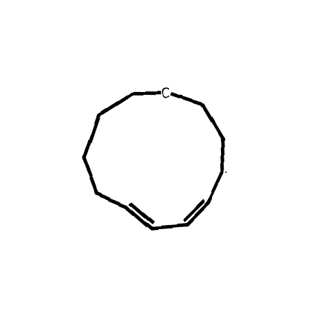 [CH]1/C=C\C=C\CCCCCCC1